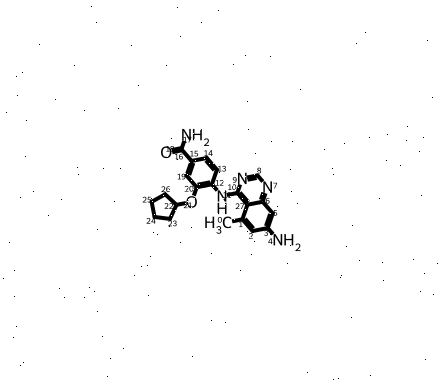 Cc1cc(N)cc2ncnc(Nc3ccc(C(N)=O)cc3OC3CCCC3)c12